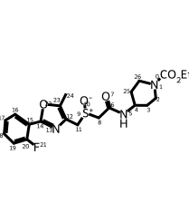 CCOC(=O)N1CCC(NC(=O)C[S+]([O-])Cc2nc(-c3ccccc3F)oc2C)CC1